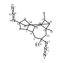 CCC1(N=[N+]=[N-])CC2C3CC4(N=[N+]=[N-])CC3C2C2C(C)C(C4)C2(C)C1